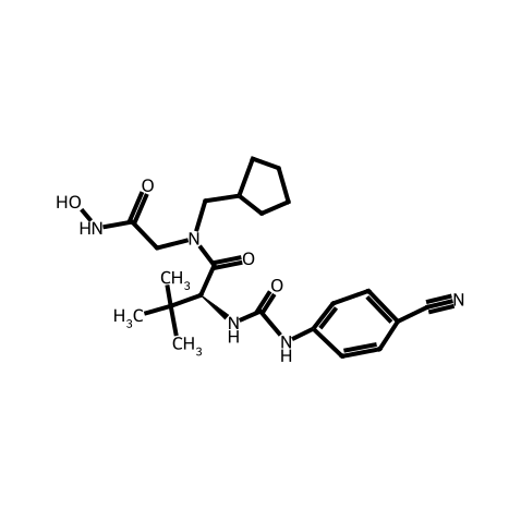 CC(C)(C)[C@H](NC(=O)Nc1ccc(C#N)cc1)C(=O)N(CC(=O)NO)CC1CCCC1